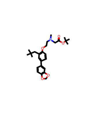 CN(CCOc1ccc(-c2ccc3c(c2)OCO3)cc1CC(C)(C)C)CC(=O)OC(C)(C)C